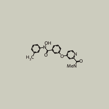 CNC(=O)c1cc(Oc2cccc(C(=O)N(O)c3cccc(C)c3)c2)ccn1